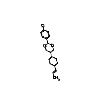 C/C=C/[C@H]1CC[C@H](C2COC(c3ccc(Cl)cc3)OC2)CC1